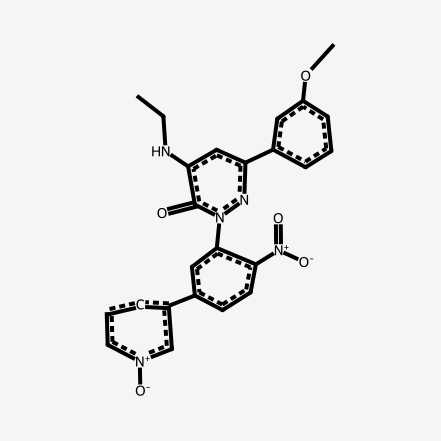 CCNc1cc(-c2cccc(OC)c2)nn(-c2cc(-c3ccc[n+]([O-])c3)ccc2[N+](=O)[O-])c1=O